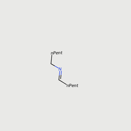 CCCCC/C=N/CCCCCC